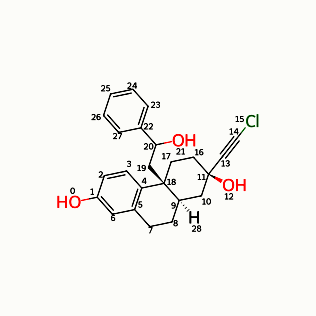 Oc1ccc2c(c1)CC[C@@H]1C[C@@](O)(C#CCl)CC[C@@]21CC(O)c1ccccc1